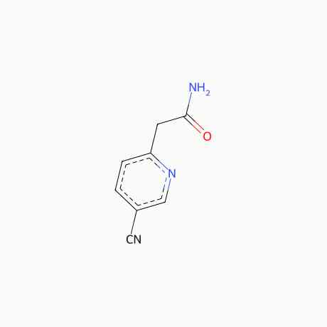 N#Cc1ccc(CC(N)=O)nc1